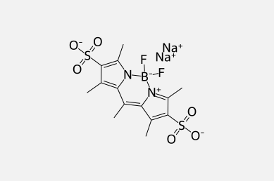 CC1=C(S(=O)(=O)[O-])C(C)=[N+]2C1=C(C)c1c(C)c(S(=O)(=O)[O-])c(C)n1[B-]2(F)F.[Na+].[Na+]